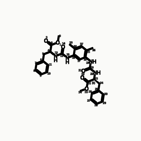 COC(=O)C(Cc1ccccc1)NC(=O)Nc1cc(NC(=O)N[C@@H](Cc2ccccc2)C(=O)OC)c(C)cc1C